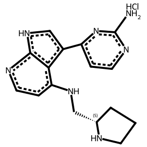 Cl.Nc1nccc(-c2c[nH]c3nccc(NC[C@@H]4CCCN4)c23)n1